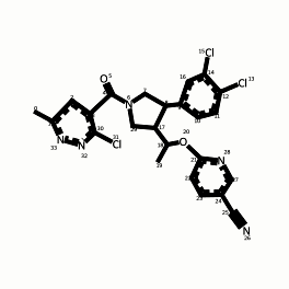 Cc1cc(C(=O)N2CC(c3ccc(Cl)c(Cl)c3)C(C(C)Oc3ccc(C#N)cn3)C2)c(Cl)nn1